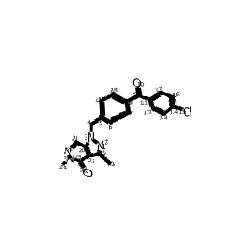 Cc1nn(Cc2ccc(C(=O)c3ccc(Cl)cc3)cc2)c2cnn(C)c(=O)c12